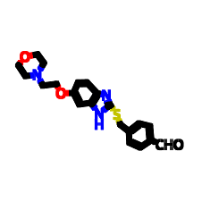 O=Cc1ccc(CSc2nc3ccc(OCCN4CCOCC4)cc3[nH]2)cc1